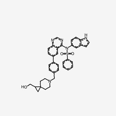 O=S(=O)(c1ccccc1)N(c1ccc2[nH]ccc2c1)c1ncnc2ccc(-c3ccc(CN4CCC5(CC4)CC5CO)cc3)cc12